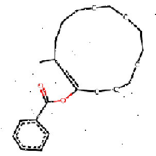 CC1/C=C(/OC(=O)c2ccccc2)CCCCCCCCCCCC1